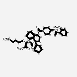 COC(=O)[C@H](CCCCNC(C)=O)NC(=O)[C@@]1(c2ccccc2)CC[C@H](C(=O)N2CCC(NC(=O)c3ccccc3OC)CC2)c2ccccc21